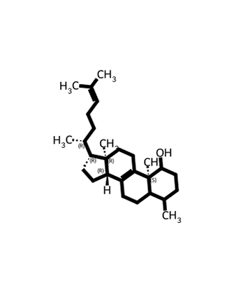 CC(C)=CCC[C@@H](C)[C@H]1CC[C@H]2C3=C(CC[C@]12C)[C@@]1(C)C(O)CCC(C)C1CC3